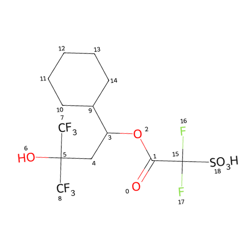 O=C(OC(CC(O)(C(F)(F)F)C(F)(F)F)C1CCCCC1)C(F)(F)S(=O)(=O)O